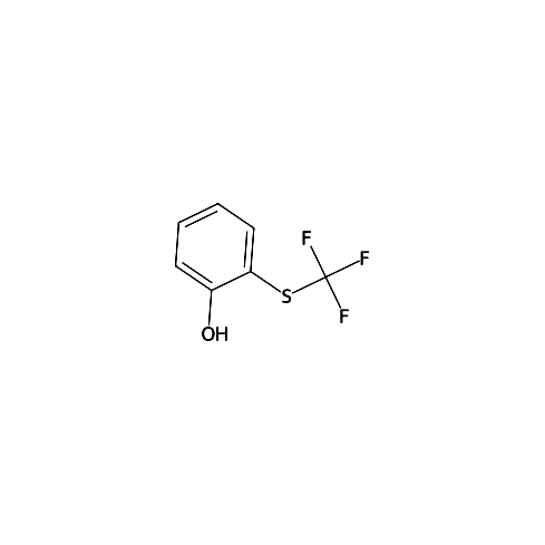 Oc1ccccc1SC(F)(F)F